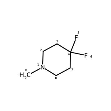 [CH2]N1CCC(F)(F)CC1